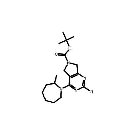 CC1CCCCCN1c1nc(Cl)nc2c1CN(C(=O)OC(C)(C)C)C2